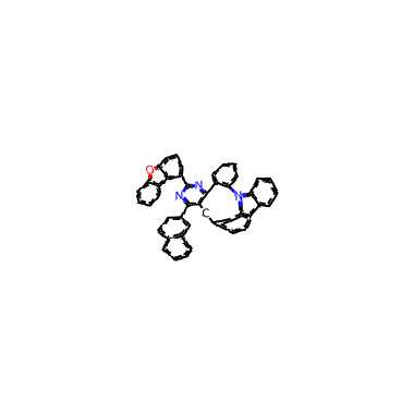 c1ccc2c(c1)-c1nc(-c3cccc4oc5ccccc5c34)nc(-c3ccc4ccccc4c3)c1Cc1ccc3c4ccccc4n-2c3c1